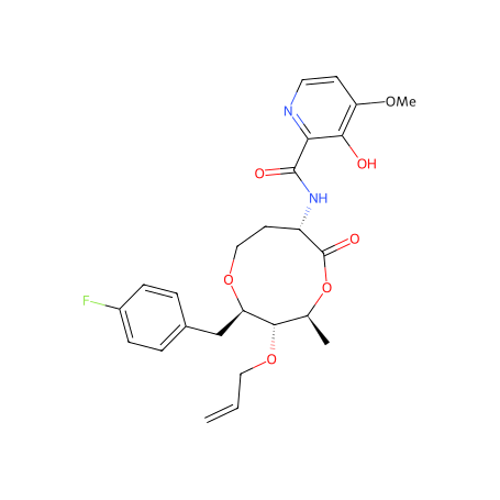 C=CCO[C@H]1[C@H](C)OC(=O)[C@@H](NC(=O)c2nccc(OC)c2O)CCO[C@@H]1Cc1ccc(F)cc1